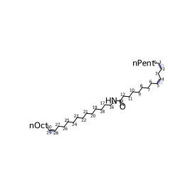 CCCCC/C=C\C/C=C\CCCCCCCC(=O)NCCCCCCCCCCCC/C=C\CCCCCCCC